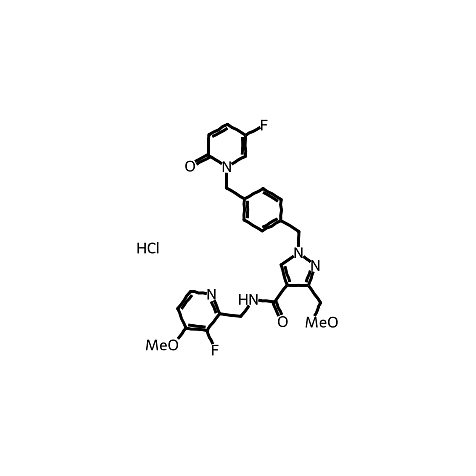 COCc1nn(Cc2ccc(Cn3cc(F)ccc3=O)cc2)cc1C(=O)NCc1nccc(OC)c1F.Cl